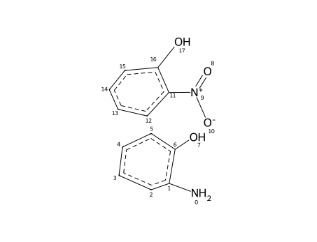 Nc1ccccc1O.O=[N+]([O-])c1ccccc1O